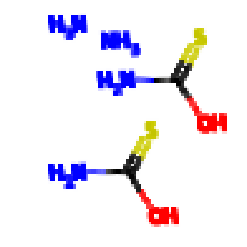 N.N.NC(O)=S.NC(O)=S